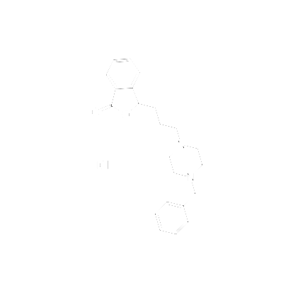 Cl.O=C1OC(CCCN2CCN(Cc3ccccc3)CC2)c2ccccc21